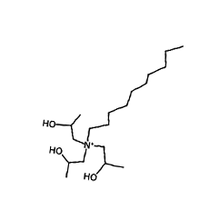 CCCCCCCCCC[N+](CC(C)O)(CC(C)O)CC(C)O